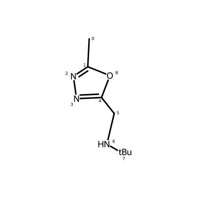 Cc1nnc(CNC(C)(C)C)o1